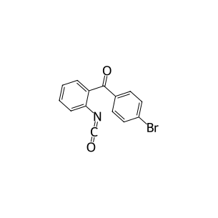 O=C=Nc1ccccc1C(=O)c1ccc(Br)cc1